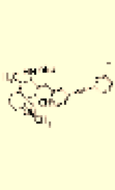 C=CC[C@]12C(CCC[C@@H]1O)C(C)C(NCCCC)/C(=C/c1cccc(C#Cc3cccc(F)c3)c1)[C@@H]2C